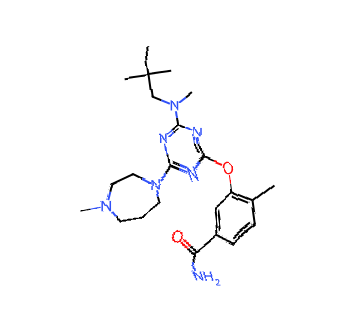 Cc1ccc(C(N)=O)cc1Oc1nc(N(C)CC(C)(C)C)nc(N2CCCN(C)CC2)n1